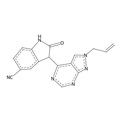 C=CCn1cc2c(C3C(=O)Nc4ccc(C#N)cc43)ncnc2n1